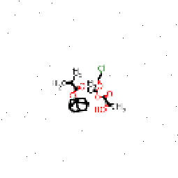 C=C(C)C(=O)OC12CC3CC(CC(C3)C1)C2.C=C(O)C(=O)OC(C)OCCCl